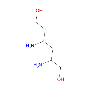 NC(CO)CC(N)CCO